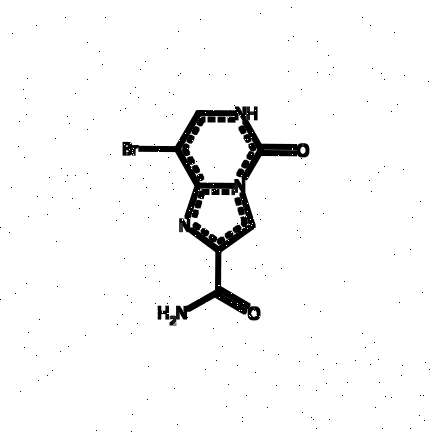 NC(=O)c1cn2c(=O)[nH]cc(Br)c2n1